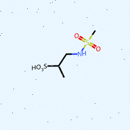 CC(CNS(C)(=O)=O)S(=O)(=O)O